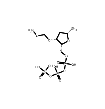 B[C@H]1C[C@@H](OCON)[C@@H](COP(=O)(O)OP(=O)(O)OP(=O)(O)O)O1